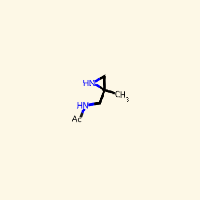 CC(=O)NCC1(C)CN1